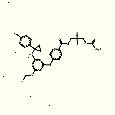 CC(C)(CNC(=O)C(=O)O)CNC(=O)c1ccc(Nc2nc(NC3(c4ccc(Cl)cc4)CC3)nc(OCC(F)(F)F)n2)cc1